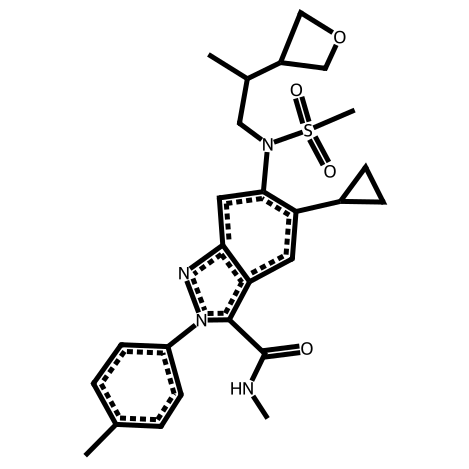 CNC(=O)c1c2cc(C3CC3)c(N(CC(C)C3COC3)S(C)(=O)=O)cc2nn1-c1ccc(C)cc1